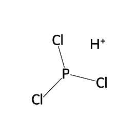 ClP(Cl)Cl.[H+]